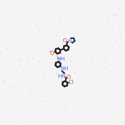 COc1ccc(-c2cccc(C(=O)N3CCCC3)c2)cc1SNc1cccc(NCCNC(=O)c2ccccc2Cl)c1